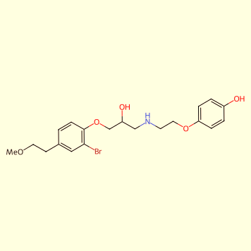 COCCc1ccc(OCC(O)CNCCOc2ccc(O)cc2)c(Br)c1